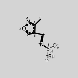 Cc1nocc1C=N[S@+]([O-])C(C)(C)C